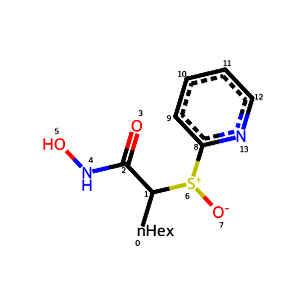 CCCCCCC(C(=O)NO)[S+]([O-])c1ccccn1